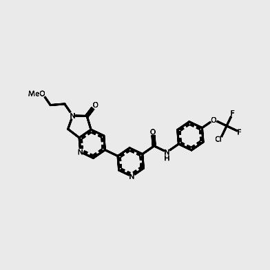 COCCN1Cc2ncc(-c3cncc(C(=O)Nc4ccc(OC(F)(F)Cl)cc4)c3)cc2C1=O